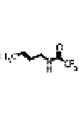 C/C=C/CNC(=O)C(F)(F)F